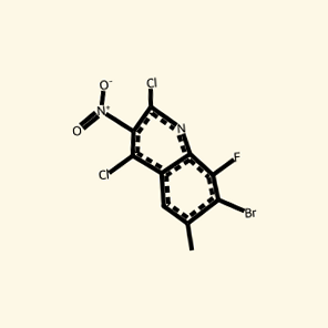 Cc1cc2c(Cl)c([N+](=O)[O-])c(Cl)nc2c(F)c1Br